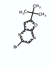 CC(C)(C)c1cc2nc(Br)cnc2o1